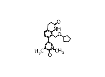 Cc1cc(-c2ccc3c(c2COC2CCCC2)NC(=O)CC3)cn(C)c1=O